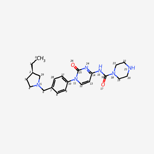 CC[C@@H]1CCN(Cc2ccc(-n3ccc(NC(=O)N4CCNCC4)nc3=O)cc2)C1